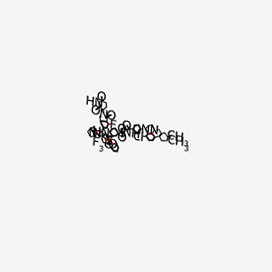 CC1(C)CCC(c2ccc(Cl)cc2)=C(CN2CCN(c3ccc(C(=O)NS(=O)(=O)c4ccc(N[C@H](CCN5C6CC5CN(Cc5cc(F)c7c(c5)CN(C5CCC(=O)NC5=O)C7=O)C6)CSc5ccccc5)c(S(=O)(=O)C(F)(F)F)c4)cc3)CC2)C1